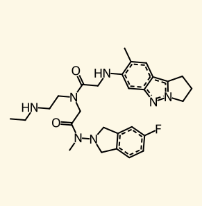 CCNCCN(CC(=O)N(C)N1Cc2ccc(F)cc2C1)C(=O)CNc1cc2nn3c(c2cc1C)CCC3